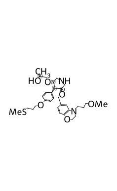 COCCCN1CCOc2ccc(CO[C@H]3CNC[C@@H](OC[C@@H](C)O)[C@@H]3c3ccc(OCCCSC)cc3)cc21